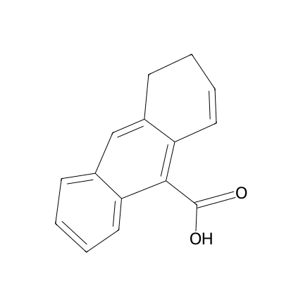 O=C(O)c1c2c(cc3ccccc13)CCC=C2